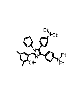 CCN(CC)c1ccc(-c2nc(-c3cc(C)cc(C)c3O)n(-c3ccccc3)c2-c2ccc(N(CC)CC)cc2)cc1